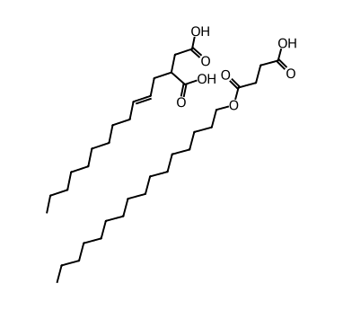 CCCCCCCCCC=CCC(CC(=O)O)C(=O)O.CCCCCCCCCCCCCCCCOC(=O)CCC(=O)O